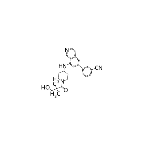 CC(C)(CO)C(=O)N1CCC(Nc2cc(-c3cccc(C#N)c3)cc3ccncc23)CC1